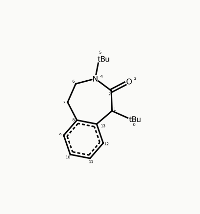 CC(C)(C)C1C(=O)N(C(C)(C)C)CCc2ccccc21